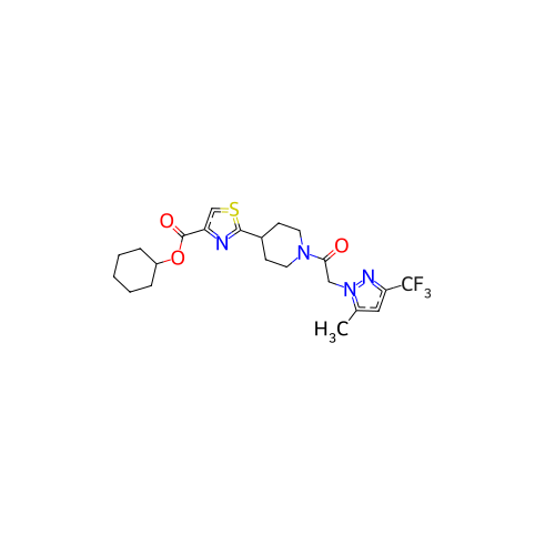 Cc1cc(C(F)(F)F)nn1CC(=O)N1CCC(c2nc(C(=O)OC3CCCCC3)cs2)CC1